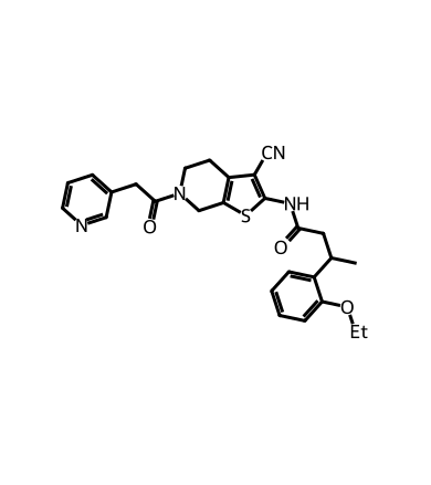 CCOc1ccccc1C(C)CC(=O)Nc1sc2c(c1C#N)CCN(C(=O)Cc1cccnc1)C2